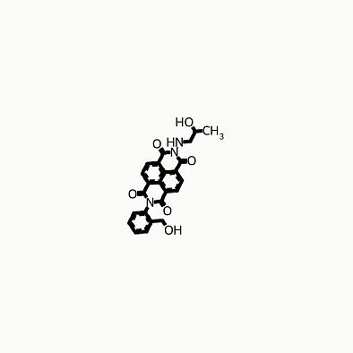 CC(O)CNN1C(=O)c2ccc3c4c(ccc(c24)C1=O)C(=O)N(c1ccccc1CO)C3=O